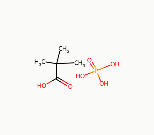 CC(C)(C)C(=O)O.O=P(O)(O)O